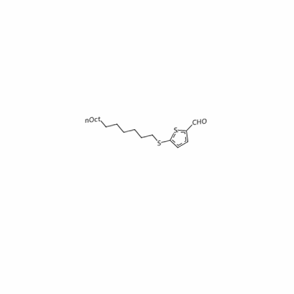 CCCCCCCCCCCCCCSc1ccc(C=O)s1